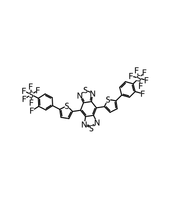 Fc1cc(-c2ccc(-c3c4c(c(-c5ccc(-c6ccc(S(F)(F)(F)(F)F)c(F)c6)s5)c5nsnc35)N=S=N4)s2)ccc1S(F)(F)(F)(F)F